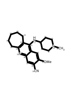 COc1cc2c(NC3CCN(C)CC3)c3c(nc2cc1C#N)CCCCC3